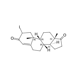 C[C@]12CC(I)C(=O)C=C1CC[C@@H]1[C@H]2CC[C@]2(C)C(=O)CC[C@@H]12